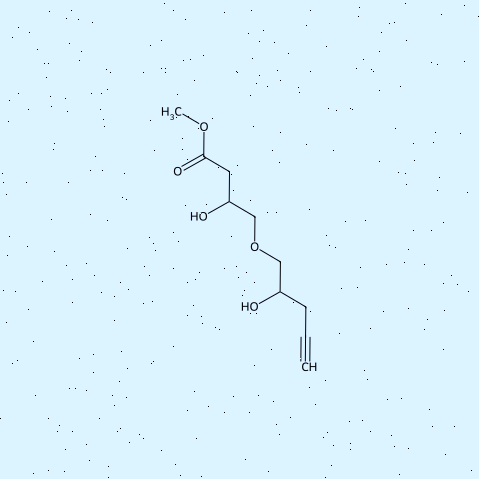 C#CCC(O)COCC(O)CC(=O)OC